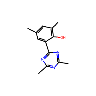 Cc1cc(C)c(O)c(-c2nc(C)nc(C)n2)c1